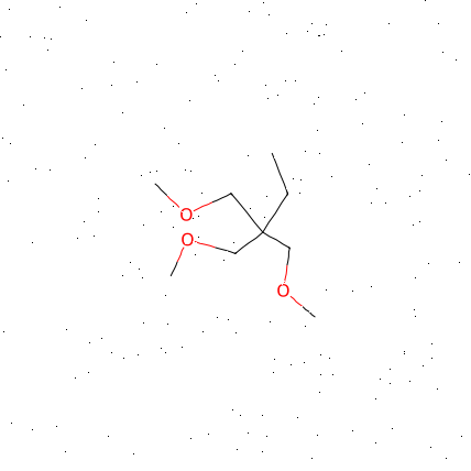 CCC(COC)(COC)COC